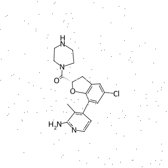 Cc1c(-c2cc(Cl)cc3c2O[C@H](C(=O)N2CCNCC2)C3)ccnc1N